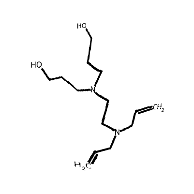 C=CCN(CC=C)CCN(CCCO)CCCO